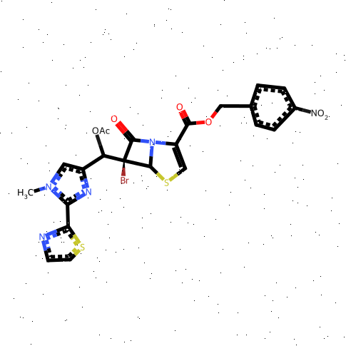 CC(=O)OC(c1cn(C)c(-c2nccs2)n1)[C@]1(Br)C(=O)N2C(C(=O)OCc3ccc([N+](=O)[O-])cc3)=CSC21